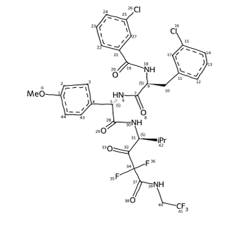 COc1ccc([C@H](NC(=O)[C@H](Cc2cccc(Cl)c2)NC(=O)c2cccc(Cl)c2)C(=O)N[C@H](C(=O)C(F)(F)C(=O)NCC(F)(F)F)C(C)C)cc1